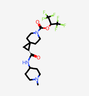 CN1CCC(NC(=O)[C@@H]2CC23CCN(C(=O)OC(C(F)(F)F)C(F)(F)F)CC3)CC1